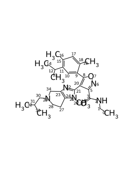 CCNC(=O)c1noc(-c2cc(C(C)C)c(C)cc2C)c1-c1nc2c(n1C)CCN(CC(C)C)C2